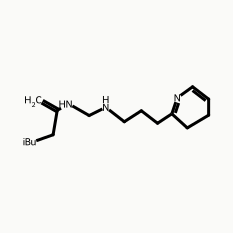 C=C(CC(C)CC)NCNCCCC1=NC=CCC1